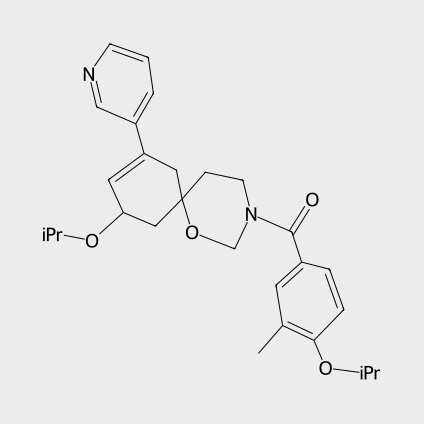 Cc1cc(C(=O)N2CCC3(CC(c4cccnc4)=CC(OC(C)C)C3)OC2)ccc1OC(C)C